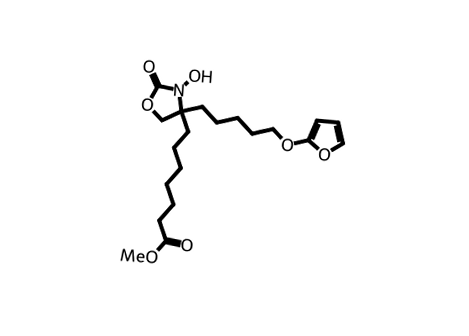 COC(=O)CCCCCCC1(CCCCCOc2ccco2)COC(=O)N1O